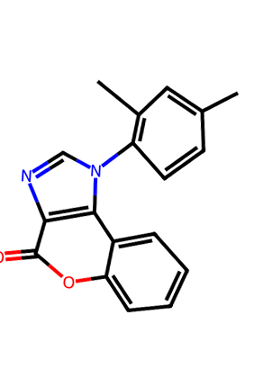 Cc1ccc(-n2cnc3c(=O)oc4ccccc4c32)c(C)c1